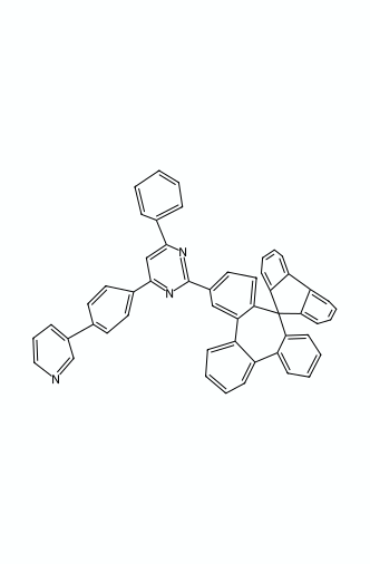 c1ccc(-c2cc(-c3ccc(-c4cccnc4)cc3)nc(-c3ccc4c(c3)-c3ccccc3-c3ccccc3C43c4ccccc4-c4ccccc43)n2)cc1